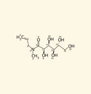 C=CCN(C)C(=O)[C@H](O)[C@@H](O)[C@H](O)[C@H](O)CO